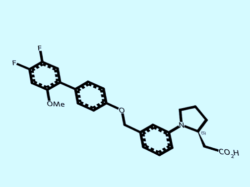 COc1cc(F)c(F)cc1-c1ccc(OCc2cccc(N3CCC[C@H]3CC(=O)O)c2)cc1